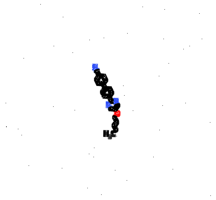 CCC=CCOc1cnc(-c2ccc(-c3ccc(C#N)cc3)cc2)nc1